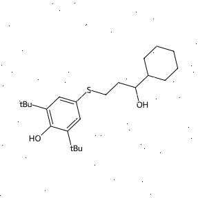 CC(C)(C)c1cc(SCCC(O)C2CCCCC2)cc(C(C)(C)C)c1O